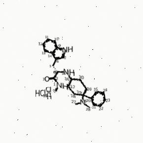 CNC(=O)[C@H](Cc1c[nH]c2ccccc12)NC1CCC(c2ccccc2)(N(C)C)CC1.Cl.Cl